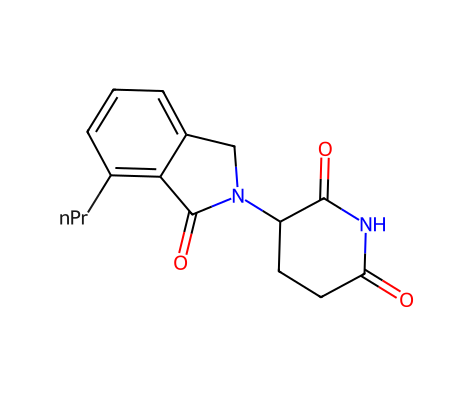 CCCc1cccc2c1C(=O)N(C1CCC(=O)NC1=O)C2